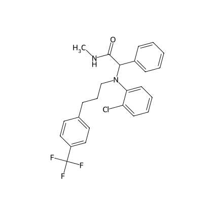 CNC(=O)C(c1ccccc1)N(CCCc1ccc(C(F)(F)F)cc1)c1ccccc1Cl